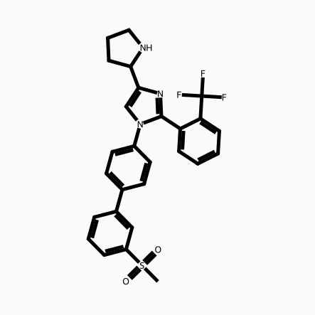 CS(=O)(=O)c1cccc(-c2ccc(-n3cc(C4CCCN4)nc3-c3ccccc3C(F)(F)F)cc2)c1